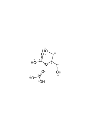 O=C(O)O.O=C(O)OC(CO)CO